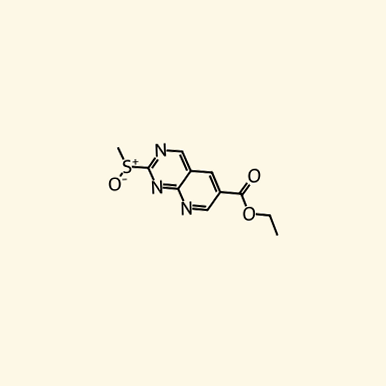 CCOC(=O)c1cnc2nc([S+](C)[O-])ncc2c1